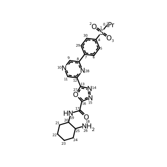 CC(C)S(=O)(=O)c1ccc(-c2cncc(-c3nnc(C(=O)NC4CCCCC4N)o3)n2)cc1